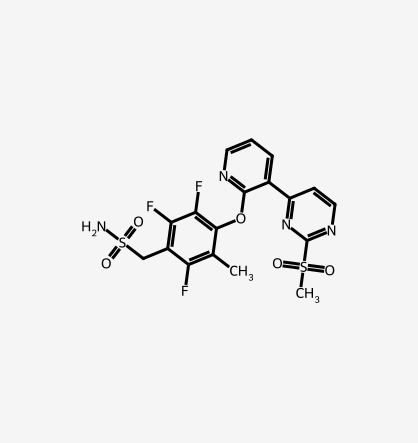 Cc1c(F)c(CS(N)(=O)=O)c(F)c(F)c1Oc1ncccc1-c1ccnc(S(C)(=O)=O)n1